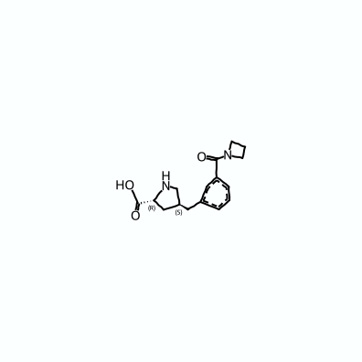 O=C(O)[C@H]1C[C@H](Cc2cccc(C(=O)N3CCC3)c2)CN1